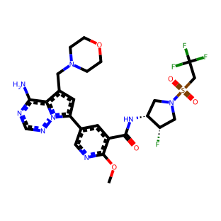 COc1ncc(-c2cc(CN3CCOCC3)c3c(N)ncnn23)cc1C(=O)N[C@@H]1CN(S(=O)(=O)CC(F)(F)F)C[C@@H]1F